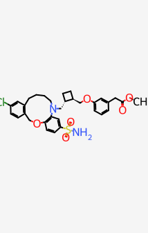 COC(=O)Cc1cccc(OC[C@@H]2CC[C@H]2CN2CCCCc3cc(Cl)ccc3COc3ccc(S(N)(=O)=O)cc32)c1